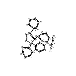 C1=C[Si](c2ccccc2)(c2ccccc2)C(c2ccccc2)=C1c1ccccc1.[N-]=[N+]=[N-]